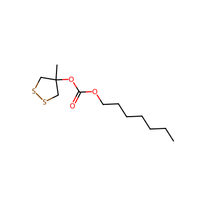 CCCCCCCOC(=O)OC1(C)CSSC1